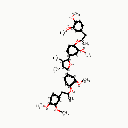 COc1ccc(CC(C)Oc2ccc(C3O[C@H](c4ccc(OC(C)Cc5ccc(OC)c(OC)c5)c(OC)c4)[C@H](C)C3C)cc2OC)cc1OC